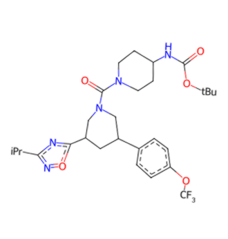 CC(C)c1noc(C2CC(c3ccc(OC(F)(F)F)cc3)CN(C(=O)N3CCC(NC(=O)OC(C)(C)C)CC3)C2)n1